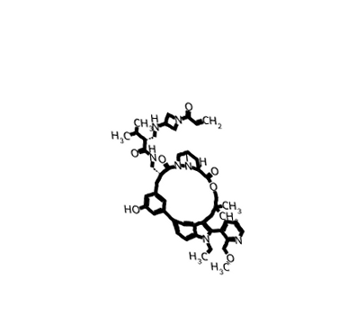 C=CC(=O)N1CC(NC[C@H](C(=O)NC[C@H]2Cc3cc(O)cc(c3)-c3ccc4c(c3)c(c(-c3cccnc3COC)n4CC)CC(C)(C)COC(=O)[C@@H]3CCCN(C2=O)N3I)C(C)C)C1